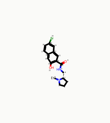 CCN1CCC[C@H]1CNC(=O)c1cc2cc(Br)ccc2cc1O